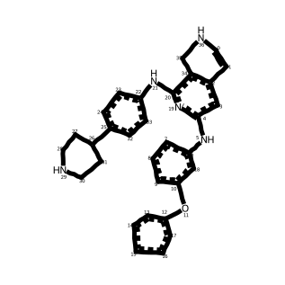 C1=Cc2cc(Nc3cccc(Oc4ccccc4)c3)nc(Nc3ccc(C4CCNCC4)cc3)c2CN1